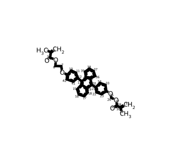 C=C(C)C(=O)OCCOc1ccc(-c2c3ccccc3c(-c3ccc(OCOC(=O)C(=C)C)cc3)c3ccccc23)cc1